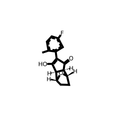 Cc1ccc(F)cc1C1=C(O)[C@H]2[C@@H](C1=O)[C@@H]1CC[C@H]2O1